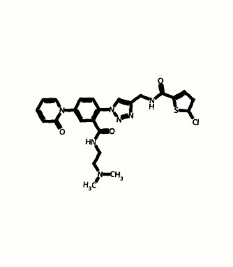 CN(C)CCNC(=O)c1cc(-n2ccccc2=O)ccc1-n1cc(CNC(=O)C2=CCC(Cl)S2)nn1